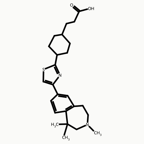 CN1CCc2cc(-c3csc(C4CCC(CCC(=O)O)CC4)n3)ccc2C(C)(C)C1